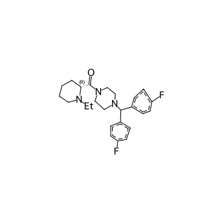 CCN1CCCC[C@@H]1C(=O)N1CCN(C(c2ccc(F)cc2)c2ccc(F)cc2)CC1